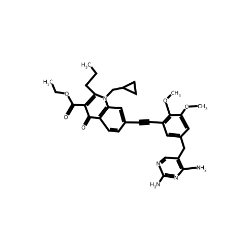 CCCc1c(C(=O)OCC)c(=O)c2ccc(C#Cc3cc(Cc4cnc(N)nc4N)cc(OC)c3OC)cc2n1CC1CC1